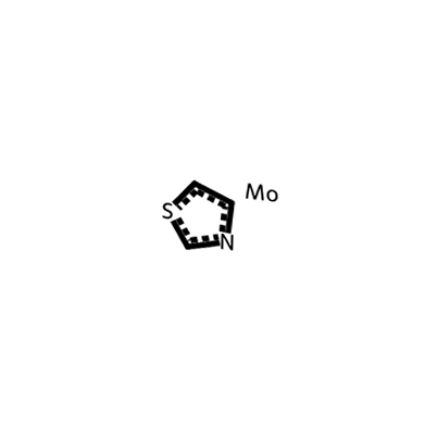 [Mo].c1cscn1